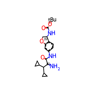 CC(C)(C)OC(=O)N[C@@H]1COc2cc(NC(=O)[C@@H](N)C(C3CC3)C3CC3)ccc21